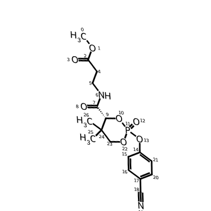 COC(=O)CCNC(=O)[C@@H]1OP(=O)(Oc2ccc(C#N)cc2)OCC1(C)C